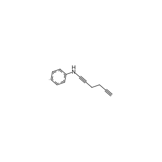 C#CCCC#CNc1cc[c]cc1